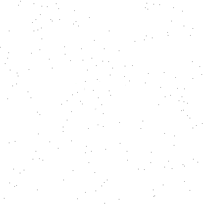 Cc1coc2cc(Cl)cc(Cl)c12